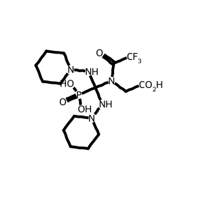 O=C(O)CN(C(=O)C(F)(F)F)C(NN1CCCCC1)(NN1CCCCC1)P(=O)(O)O